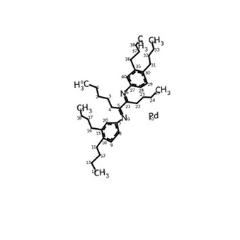 CCCCCC(=Nc1ccc(CCCC)c(CCCC)c1)C(CCCC)=Nc1ccc(CCCC)c(CCCC)c1.[Pd]